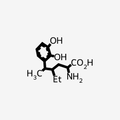 CCC(CC(N)C(=O)O)C(C)c1cccc(O)c1O